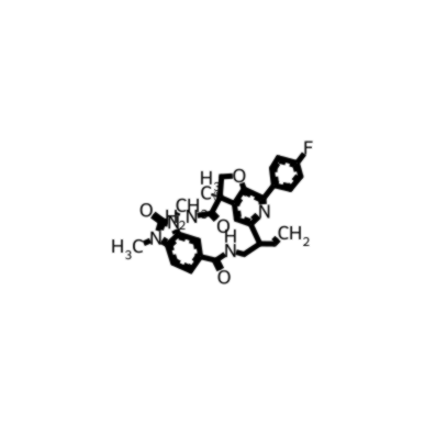 C=CC(CNC(=O)c1ccc2c(c1)n(C)c(=O)n2C)c1cc2c(c(-c3ccc(F)cc3)n1)OC[C@]2(C)C(N)=O